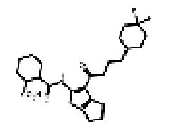 O=C(CCCC1CCC(F)(F)CC1)c1c(NC(=O)C2CCCCC2C(=O)O)sc2c1CCC2